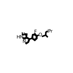 CC(C)CC(C)COc1ccc(-c2ccnc3[nH]ncc23)cc1F